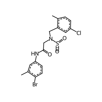 Cc1cc(NC(=O)CN(Cc2cc(Cl)ccc2C)[SH](=O)=O)ccc1Br